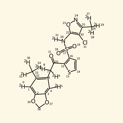 [2H]c1c2c(c([2H])c(C([2H])([2H])C(=O)c3sccc3S(=O)(=O)N([2H])c3onc(C([2H])([2H])[2H])c3Cl)c1C([2H])([2H])[2H])OCO2